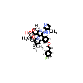 Cc1ccncc1Nc1nc(C)c([C@H](OC(C)(C)C)C(=O)O)c(N2CCC(C)(C)CC2)c1-c1ccc(OCCc2ccc(F)cc2)cc1